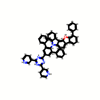 c1ccc(-c2cc(-c3nc(-c4cccnc4)nc(-c4cccnc4)n3)cc(-c3ccccc3)c2-n2c3ccccc3c3c4oc5c(-c6ccccc6)cccc5c4ccc32)cc1